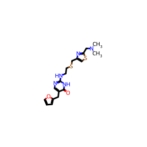 CN(C)Cc1nc(CSCCNc2ncc(Cc3ccco3)c(=O)[nH]2)cs1